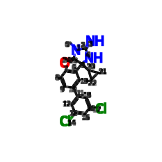 CN1C(=N)NC(c2cccc(-c3cc(Cl)cc(Cl)c3)c2)(C2CC2)C1=O